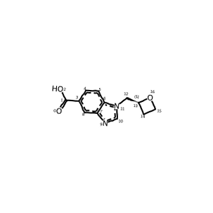 O=C(O)c1ccc2c(c1)ncn2C[C@@H]1CCO1